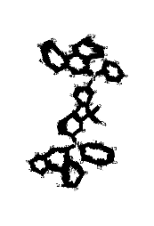 CC1(C)C2=C(C=CC(N(c3ccccc3)c3cc4ccccc4c4ccccc34)C2)c2ccc(N(c3ccccc3)c3cc4ccccc4c4ccccc34)cc21